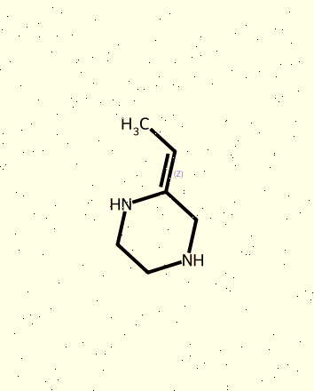 C/C=C1/CNCCN1